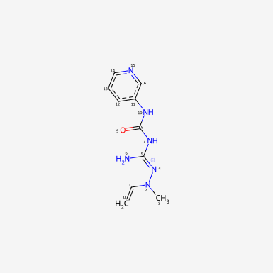 C=CN(C)/N=C(\N)NC(=O)Nc1cccnc1